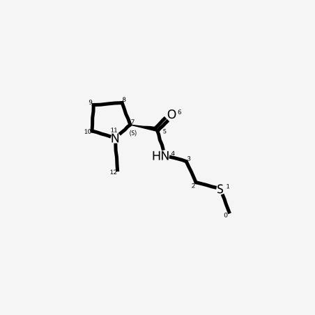 CSCCNC(=O)[C@@H]1CCCN1C